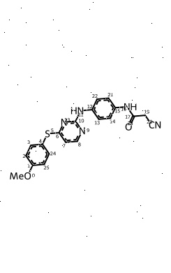 COc1ccc(Sc2ccnc(Nc3ccc(NC(=O)CC#N)cc3)n2)cc1